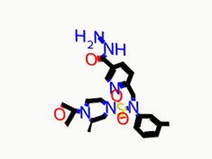 Cc1cccc(N(Cc2ccc(C(=O)NN)cn2)S(=O)(=O)N2CCN(C3COC3)[C@H](C)C2)c1